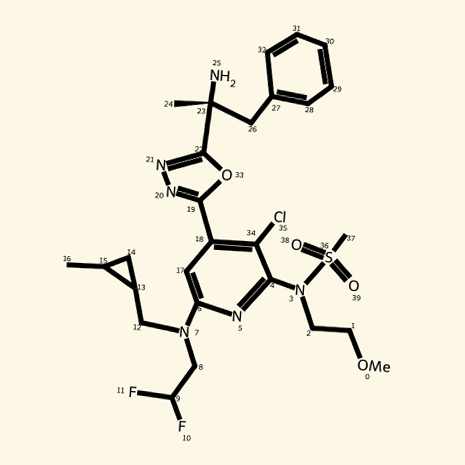 COCCN(c1nc(N(CC(F)F)CC2CC2C)cc(-c2nnc([C@](C)(N)Cc3ccccc3)o2)c1Cl)S(C)(=O)=O